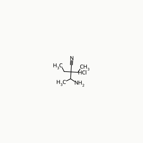 CCC(C#N)(CC)C(C)N.Cl